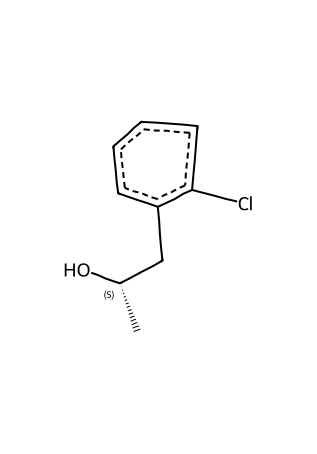 C[C@H](O)Cc1ccccc1Cl